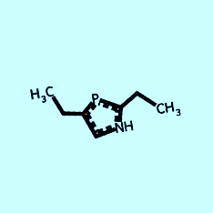 CCc1c[nH]c(CC)p1